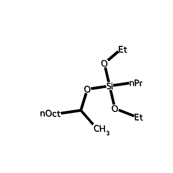 CCCCCCCCC(C)O[Si](CCC)(OCC)OCC